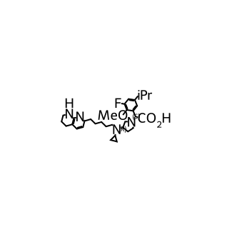 COc1c(F)cc(C(C)C)cc1[C@@H](C(=O)O)N1CC[C@@H](N(CCCCCc2ccc3c(n2)NCCC3)C2CC2)C1